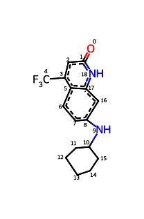 O=c1cc(C(F)(F)F)c2ccc(NC3CCCCC3)cc2[nH]1